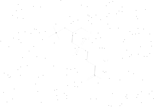 CCC(CC(F)(F)F)CS(=N)(=O)CC[C@H](N)C(=O)O